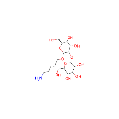 NCCCCCOC1O[C@@H](CO)C(O)[C@H](O)C1O[C@H]1OC(CO)[C@@H](O)C(O)C1O